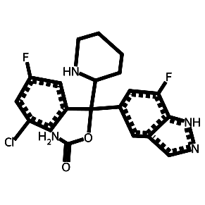 NC(=O)OC(c1cc(F)cc(Cl)c1)(c1cc(F)c2[nH]ncc2c1)C1CCCCN1